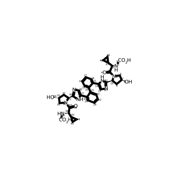 O=C(O)N[C@H](C(=O)N1C[C@H](O)C[C@H]1c1ncc(-c2ccccc2-c2ccccc2-c2cnc([C@@H]3C[C@@H](O)CN3C(=O)[C@@H](NC(=O)O)C3CC3)[nH]2)[nH]1)C1CC1